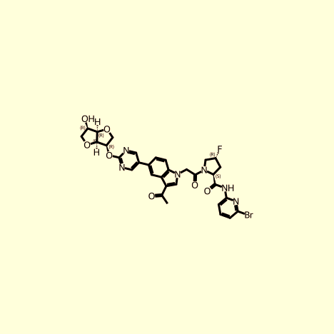 CC(=O)c1cn(CC(=O)N2C[C@H](F)C[C@H]2C(=O)Nc2cccc(Br)n2)c2ccc(-c3cnc(O[C@@H]4CO[C@H]5[C@@H]4OC[C@H]5O)nc3)cc12